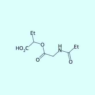 CCC(=O)NCC(=O)OC(CC)C(=O)O